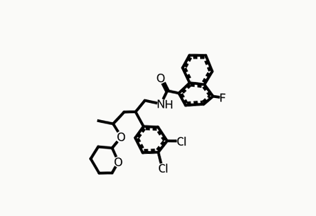 CC(CC(CNC(=O)c1ccc(F)c2ccccc12)c1ccc(Cl)c(Cl)c1)OC1CCCCO1